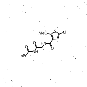 CCCC(=O)NC(=O)CNC(=O)c1cc(Cl)sc1OC